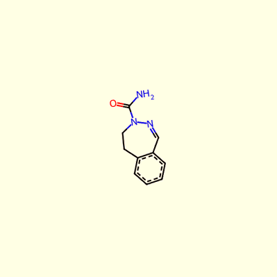 NC(=O)N1CCc2ccccc2C=N1